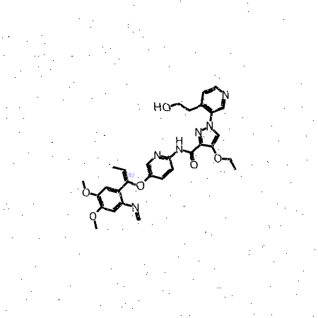 C=Nc1cc(OC)c(OC)cc1/C(=C\C)Oc1ccc(NC(=O)c2nn(-c3cnccc3CCO)cc2OCC)nc1